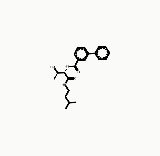 CC(C)C[CH]NC(=O)[C@@H](NC(=O)c1cccc(-c2ccccc2)c1)[C@@H](C)O